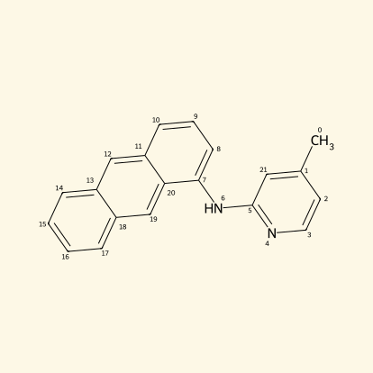 Cc1ccnc(Nc2cccc3cc4ccccc4cc23)c1